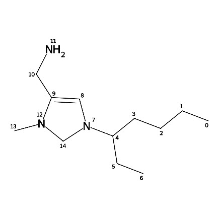 CCCCC(CC)N1C=C(CN)N(C)C1